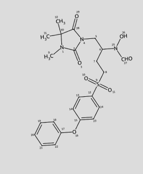 CN1C(=O)N(CC(CCS(=O)(=O)c2ccc(Oc3ccccc3)cc2)N(O)C=O)C(=O)C1(C)C